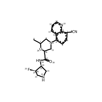 CC1CN(c2ccc(C#N)c3ncccc23)CC(C(=O)N[C@H]2CNC[C@H]2F)O1